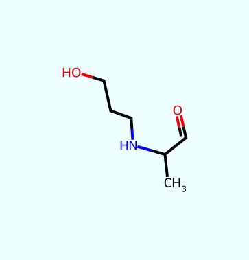 CC(C=O)NCCCO